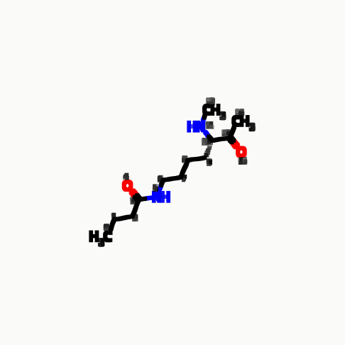 CCCC(=O)NCCCC[C@H](NC)C(C)=O